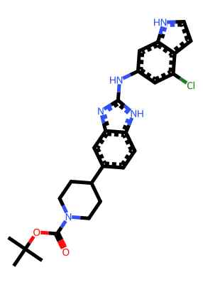 CC(C)(C)OC(=O)N1CCC(c2ccc3[nH]c(Nc4cc(Cl)c5cc[nH]c5c4)nc3c2)CC1